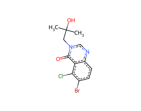 CC(C)(O)Cn1cnc2ccc(Br)c(Cl)c2c1=O